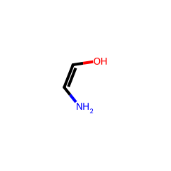 N/C=C\O